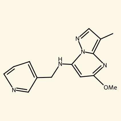 COc1cc(NCc2cccnc2)n2ncc(C)c2n1